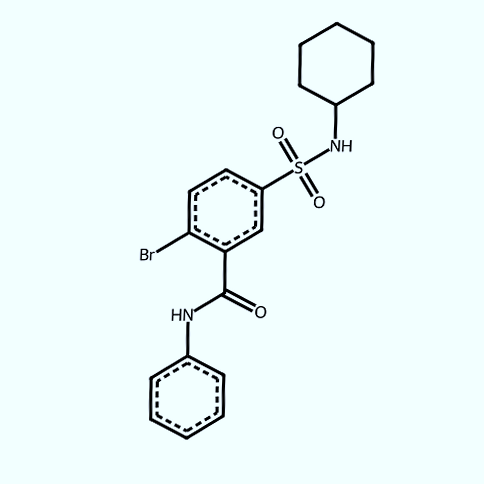 O=C(Nc1ccccc1)c1cc(S(=O)(=O)NC2CCCCC2)ccc1Br